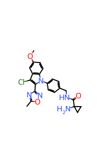 COc1ccc2c(c1)c(Cl)c(-c1noc(C)n1)n2-c1ccc(CNC(=O)C2(N)CC2)cc1